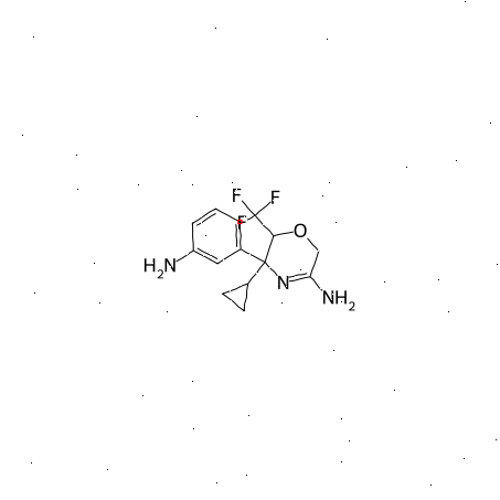 NC1=NC(c2cccc(N)c2)(C2CC2)C(C(F)(F)F)OC1